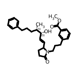 COC(=O)c1cccc(CCCN2C(=O)CCC2C=C[C@@H](O)[C@@H](C)CCCc2ccccc2)c1